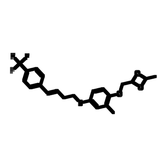 Cc1cc(SCCC=Cc2ccc(C(F)(F)F)cc2)ccc1OCC1OC(C)O1